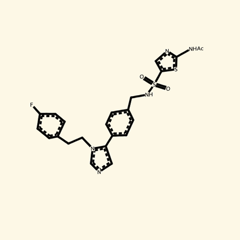 CC(=O)Nc1ncc(S(=O)(=O)NCc2ccc(-c3cncn3CCc3ccc(F)cc3)cc2)s1